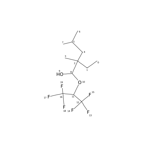 CCC(C)(CC(C)C)C(O)OC(C(F)(F)F)C(F)(F)F